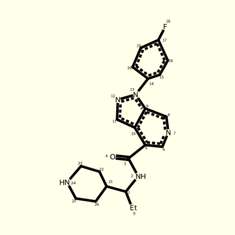 CCC(NC(=O)c1cncc2c1cnn2-c1ccc(F)cc1)C1CCNCC1